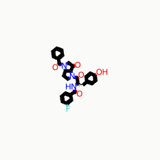 O=C(N[C@@H](Cc1ccc(O)cc1)C(=O)N1CCC2C1C(=O)CN2C(=O)c1ccccc1)c1cccc(F)c1